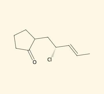 C/C=C/[C@H](Cl)CC1CCCC1=O